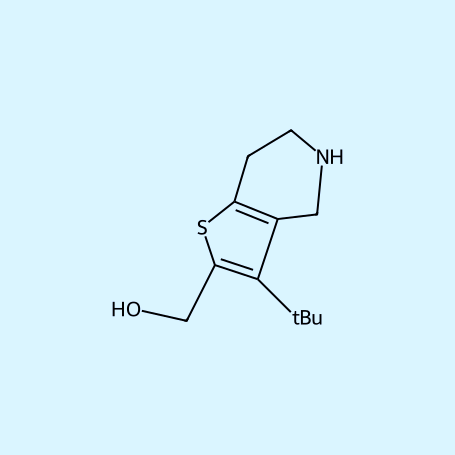 CC(C)(C)c1c(CO)sc2c1CNCC2